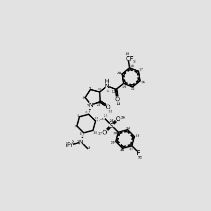 CC(C)N(C)[C@@H]1CC[C@H](N2CCC(NC(=O)c3cccc(C(F)(F)F)c3)C2=O)[C@H](CS(=O)(=O)c2ccc(F)cc2)C1